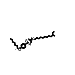 CCCCCC[C@@H](C)Oc1ccc(-c2ncc(OCCCCCCCCCC(C)CC)cn2)cc1